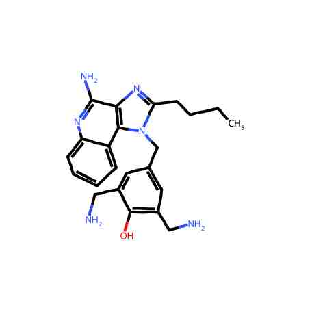 CCCCc1nc2c(N)nc3ccccc3c2n1Cc1cc(CN)c(O)c(CN)c1